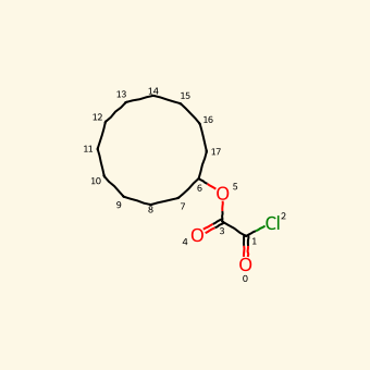 O=C(Cl)C(=O)OC1CCCCCCCCCCC1